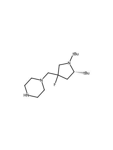 CC(C)(C)[C@@H]1CC(F)(CN2CCNCC2)CN1C(C)(C)C